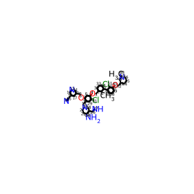 Cc1c(COc2cc(OCc3cncc(C#N)c3)c(CN3CCC(N)=C(C=N)C3)cc2Cl)cccc1-c1cccc(OCC2CCCN(C)C2)c1Cl